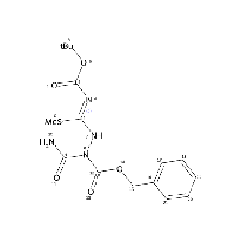 CS/C(=N\C(=O)OC(C)(C)C)NN(C(N)=O)C(=O)OCc1ccccc1